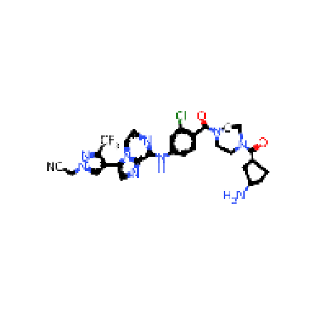 N#CCn1cc(-c2cnc3c(Nc4ccc(C(=O)N5CCN(C(=O)[C@H]6CC[C@@H](N)C6)CC5)c(Cl)c4)nccn23)c(C(F)(F)F)n1